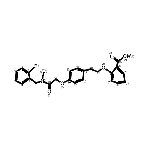 CCN(Cc1ccccc1F)C(=O)COc1ccc(CCOc2ccccc2C(=O)OC)cc1